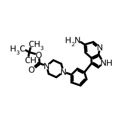 CC(C)(C)OC(=O)N1CCN(c2cccc(-c3c[nH]c4ncc(N)cc34)c2)CC1